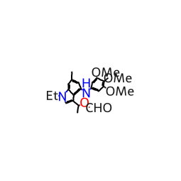 CCn1cc(C(C)OC=O)c2c(Nc3cc(OC)c(OC)c(OC)c3)cc(C)cc21